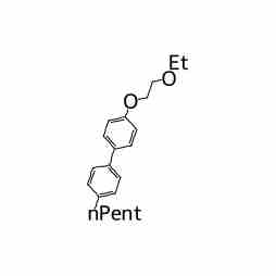 CCCCCc1ccc(-c2ccc(OCCOCC)cc2)cc1